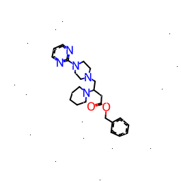 O=C(CC(CN1CCN(c2ncccn2)CC1)N1CCCCC1)OCc1ccccc1